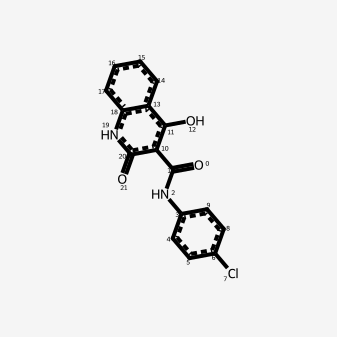 O=C(Nc1ccc(Cl)cc1)c1c(O)c2ccccc2[nH]c1=O